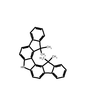 CC1(C)c2ccccc2-c2ccc3[nH]c4ccc5c(c4c3c21)C(C)(C)c1ccccc1-5